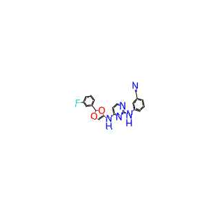 N#Cc1cccc(Nc2nccc(NC3=COC(c4cccc(F)c4)O3)n2)c1